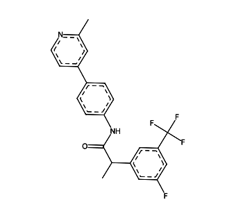 Cc1cc(-c2ccc(NC(=O)C(C)c3cc(F)cc(C(F)(F)F)c3)cc2)ccn1